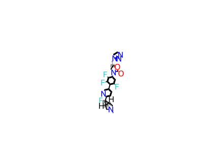 CN1C[C@@H]2[C@H](C1)[C@@]2(F)c1ccc(-c2c(F)cc(N3C[C@H](Cn4ccnn4)OC3=O)c(F)c2F)cn1